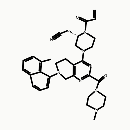 C=CC(=O)N1CCN(c2nc(C(=O)N3CCN(C)CC3)nc3c2CCN(c2cccc4cccc(C)c24)C3)C[C@@H]1CC#N